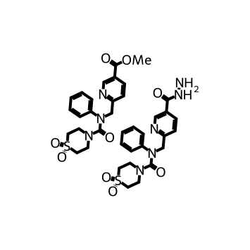 COC(=O)c1ccc(CN(C(=O)N2CCS(=O)(=O)CC2)c2ccccc2)nc1.NNC(=O)c1ccc(CN(C(=O)N2CCS(=O)(=O)CC2)c2ccccc2)nc1